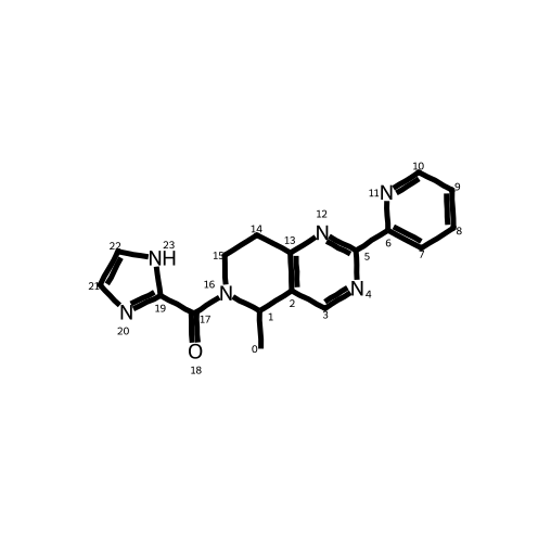 CC1c2cnc(-c3ccccn3)nc2CCN1C(=O)c1ncc[nH]1